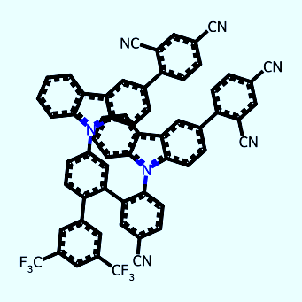 N#Cc1ccc(-c2ccc3c(c2)c2ccccc2n3-c2ccc(-c3cc(C(F)(F)F)cc(C(F)(F)F)c3)c(-c3cc(C#N)ccc3-n3c4ccccc4c4cc(-c5ccc(C#N)cc5C#N)ccc43)c2)c(C#N)c1